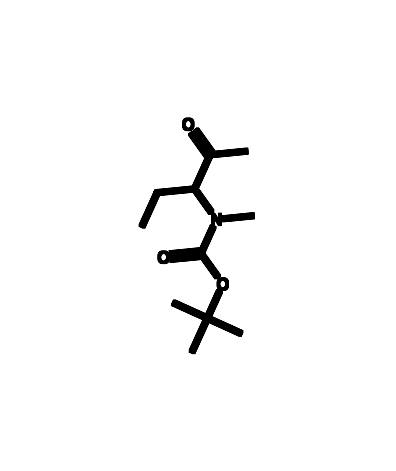 CCC(C(C)=O)N(C)C(=O)OC(C)(C)C